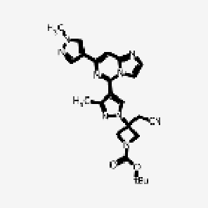 Cc1nn(C2(CC#N)CN(C(=O)OC(C)(C)C)C2)cc1-c1nc(-c2cnn(C)c2)cc2nccn12